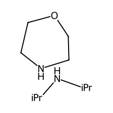 C1COCCN1.CC(C)NC(C)C